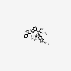 Cc1c(C(C)C)c(-c2cccc3nn(C[C@H](O)c4ccccc4)cc23)nn1-c1cc2cn(C)nc2nc1C(C)(C)O